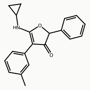 Cc1cccc(C2=C(NC3CC3)OC(c3ccccc3)C2=O)c1